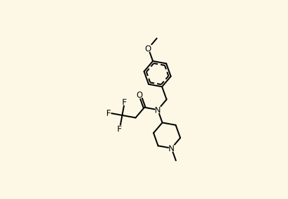 COc1ccc(CN(C(=O)CC(F)(F)F)C2CCN(C)CC2)cc1